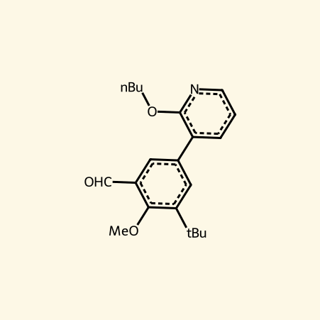 CCCCOc1ncccc1-c1cc(C=O)c(OC)c(C(C)(C)C)c1